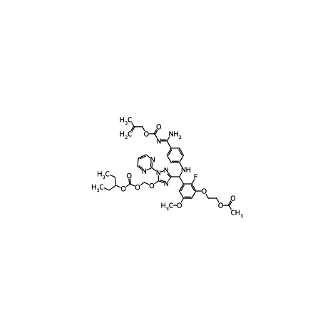 C=C(C)COC(=O)N=C(N)c1ccc(NC(c2nc(OCOC(=O)OC(CC)CC)n(-c3ncccn3)n2)c2cc(OC)cc(OCCOC(C)=O)c2F)cc1